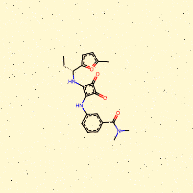 CC[C@@H](Nc1c(Nc2cccc(C(=O)N(C)C)c2)c(=O)c1=O)c1ccc(C)o1